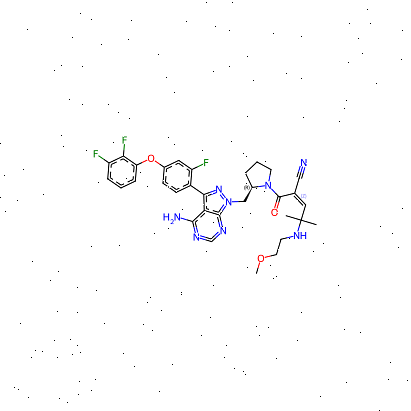 COCCNC(C)(C)/C=C(/C#N)C(=O)N1CCC[C@@H]1Cn1nc(-c2ccc(Oc3cccc(F)c3F)cc2F)c2c(N)ncnc21